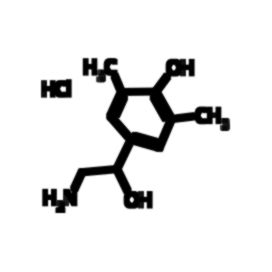 Cc1cc(C(O)CN)cc(C)c1O.Cl